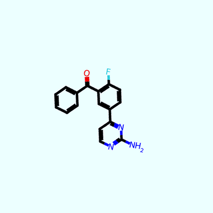 Nc1nccc(-c2ccc(F)c(C(=O)c3ccccc3)c2)n1